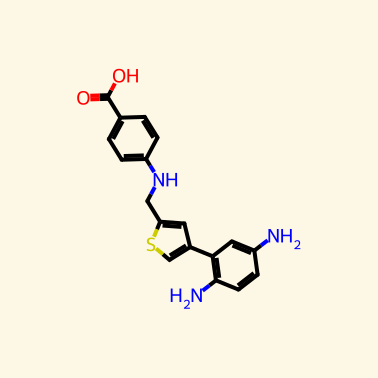 Nc1ccc(N)c(-c2csc(CNc3ccc(C(=O)O)cc3)c2)c1